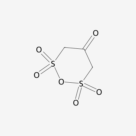 O=C1CS(=O)(=O)OS(=O)(=O)C1